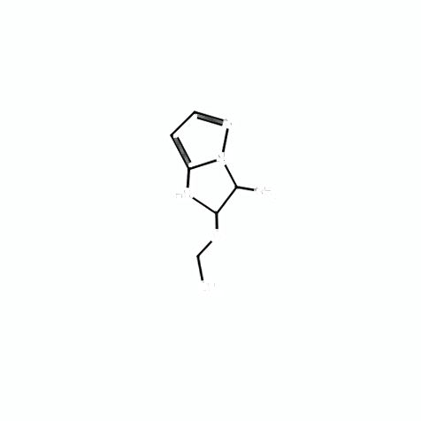 CCOC1NC2=CC=N[N+]2C1N